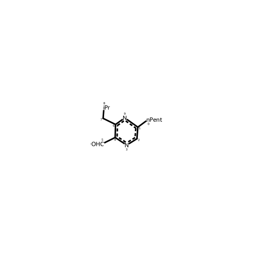 CCCCCc1cnc([C]=O)c(CC(C)C)n1